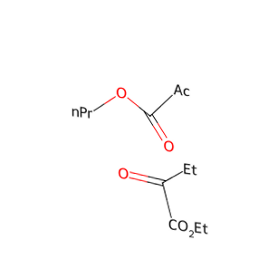 CCCOC(=O)C(C)=O.CCOC(=O)C(=O)CC